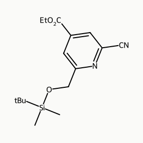 CCOC(=O)c1cc(C#N)nc(CO[Si](C)(C)C(C)(C)C)c1